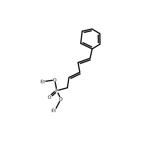 CCOP(=O)(C/C=C/C=C/c1ccccc1)OCC